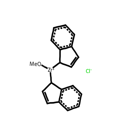 C[O][Zr+]([CH]1C=Cc2ccccc21)[CH]1C=Cc2ccccc21.[Cl-]